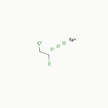 ClCCCl.[Cl-].[Cl-].[Cl-].[Fe+3]